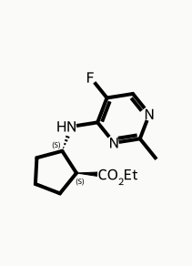 CCOC(=O)[C@H]1CCC[C@@H]1Nc1nc(C)ncc1F